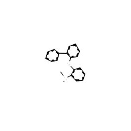 CCN(C)c1ccccc1Nc1ccccc1-c1ccccc1